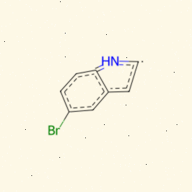 Brc1ccc2[nH][c]cc2c1